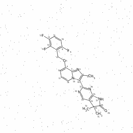 Cc1nc2c(OCc3c(F)ccc(F)c3F)cccn2c1-c1ncc2c(n1)NC(=O)C2(C)C